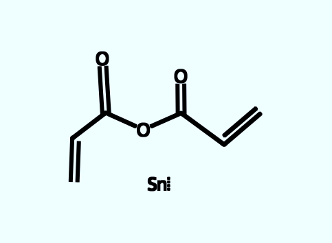 C=CC(=O)OC(=O)C=C.[Sn]